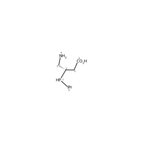 CC(C)P[C@H](CN)CC(=O)O